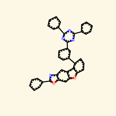 c1ccc(-c2nc(-c3ccccc3)nc(-c3cccc(-c4cccc5oc6cc7oc(-c8ccccc8)nc7cc6c45)c3)n2)cc1